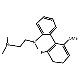 COC1=CC[CH]C(F)=C1c1ccccc1N(C)CCN(C)C